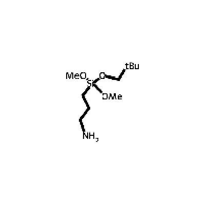 CO[Si](CCCN)(OC)OCC(C)(C)C